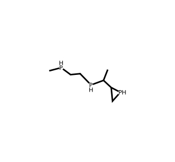 CPCCPC(C)C1CP1